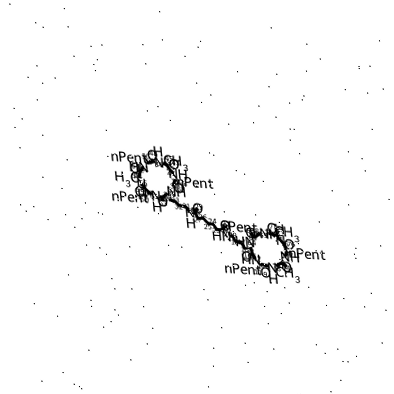 CCCCC[C@@H]1NC(=O)[C@@H](C)NC(=O)[C@H](CCCCC)NC(=O)[C@@H](CCCCNC(=O)CCCCCC(=O)NCCCC[C@H]2NC(=O)[C@H](CCCCC)NC(=O)[C@@H](C)NC(=O)[C@H](CCCCC)NC(=O)[C@@H](C)NC(=O)[C@H](CCCCC)NC2=O)NC(=O)[C@H](CCCCC)NC(=O)[C@@H](C)NC1=O